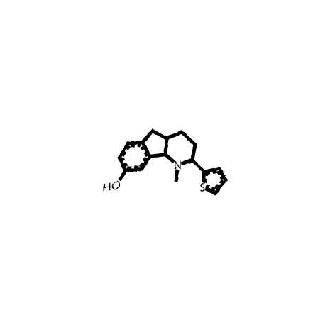 CN1C(c2cccs2)CCC2Cc3ccc(O)cc3C21